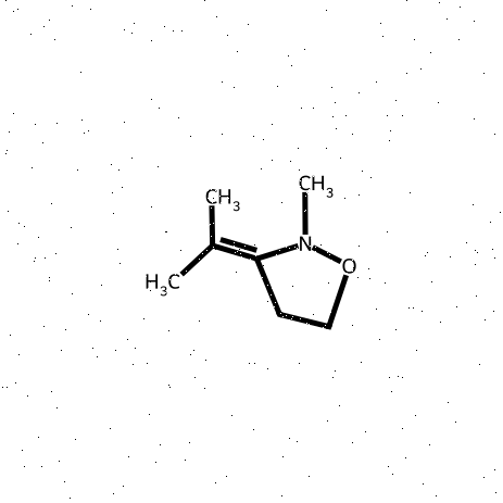 CC(C)=C1CCON1C